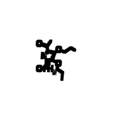 CCCOc1c(C(C)=O)nn([PH2]=O)c1OCCC